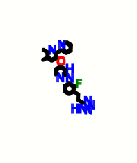 Cc1cc(Oc2ccnc(Nc3cccc(CCc4nnn[nH]4)c3F)c2)c(-c2ccccn2)nc1C